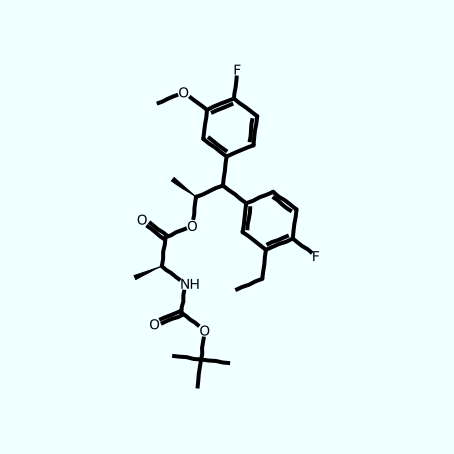 CCc1cc(C(c2ccc(F)c(OC)c2)[C@H](C)OC(=O)[C@H](C)NC(=O)OC(C)(C)C)ccc1F